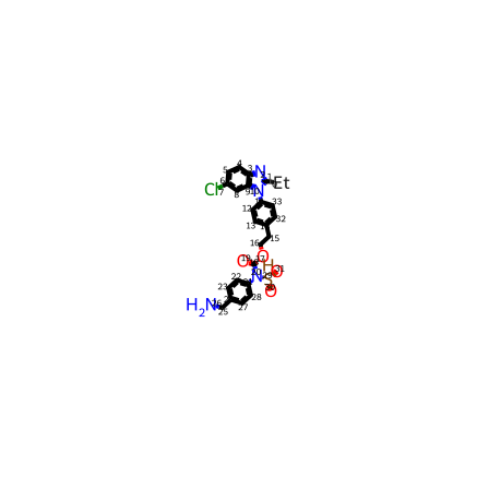 CCc1nc2ccc(Cl)cc2n1-c1ccc(CCOC(=O)N(c2ccc(CN)cc2)[SH](=O)=O)cc1